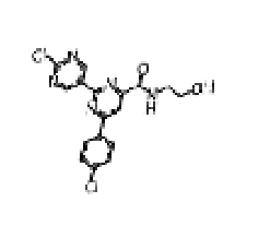 O=C(NCCO)c1cc(-c2ccc(Cl)cc2)nc(-c2cnc(Cl)nc2)n1